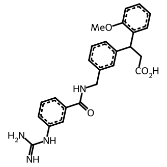 COc1ccccc1C(CC(=O)O)c1cccc(CNC(=O)c2cccc(NC(=N)N)c2)c1